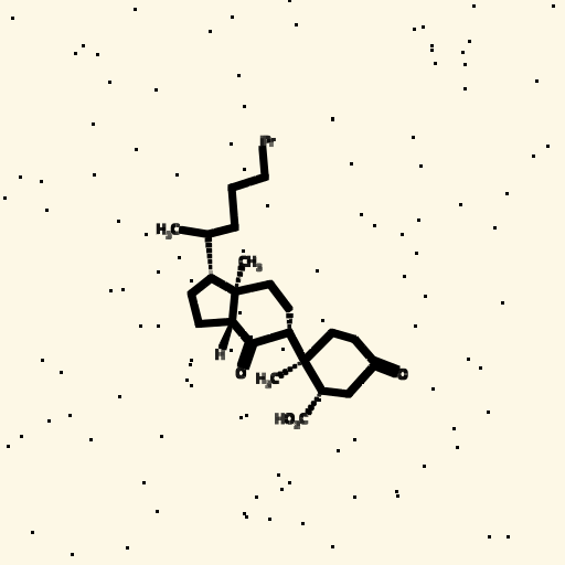 CC(C)CCCC(C)[C@H]1CC[C@H]2C(=O)[C@@H]([C@@]3(C)CCC(=O)C[C@@H]3C(=O)O)CC[C@]12C